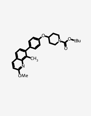 COc1ccc2ccc(-c3ccc(OC4CCN(C(=O)OC(C)(C)C)CC4)cc3)c(C)c2n1